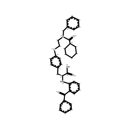 O=C(c1ccccc1)c1ccccc1N[C@@H](Cc1ccc(OCCN(Cc2ccccc2)C(=O)C2CCCCC2)cc1)C(=O)O